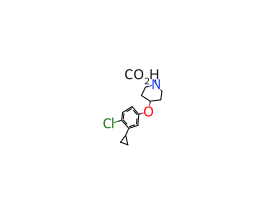 O=C(O)N1CCC(Oc2ccc(Cl)c(C3CC3)c2)CC1